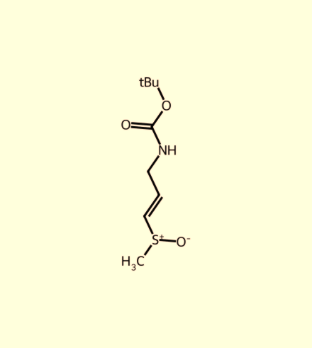 C[S+]([O-])/C=C/CNC(=O)OC(C)(C)C